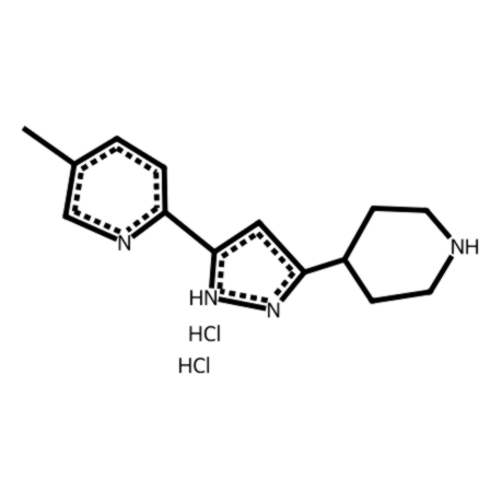 Cc1ccc(-c2cc(C3CCNCC3)n[nH]2)nc1.Cl.Cl